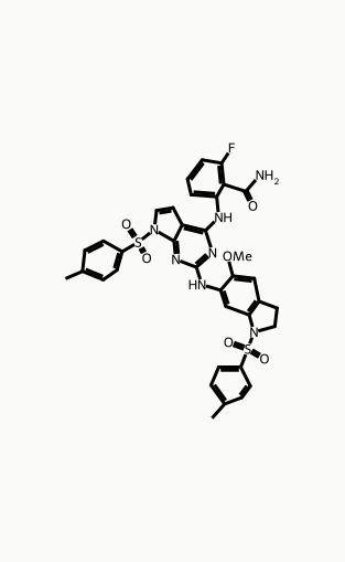 COc1cc2c(cc1Nc1nc(Nc3cccc(F)c3C(N)=O)c3ccn(S(=O)(=O)c4ccc(C)cc4)c3n1)N(S(=O)(=O)c1ccc(C)cc1)CC2